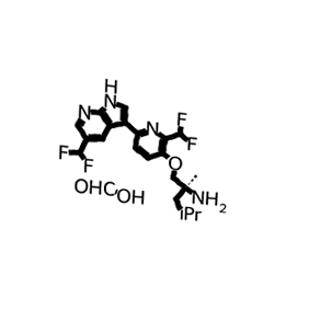 CC(C)C[C@](C)(N)COc1ccc(-c2c[nH]c3ncc(C(F)F)cc23)nc1C(F)F.O=CO